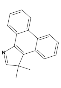 CC1(C)C=Nc2c1c1ccccc1c1ccccc21